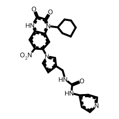 O=C(NCc1ccn(-c2cc3c(cc2[N+](=O)[O-])[nH]c(=O)c(=O)n3C2CCCCC2)c1)Nc1ccncc1